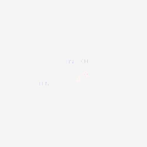 Cc1[nH]c2ccc(CCN)cc2c1C(=O)OCc1ccccc1